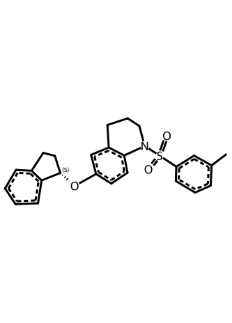 Cc1cccc(S(=O)(=O)N2CCCc3cc(O[C@H]4CCc5ccccc54)ccc32)c1